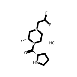 C[C@@H]1CN(CC(F)F)CCN1C(=O)[C@@H]1CCCN1.Cl